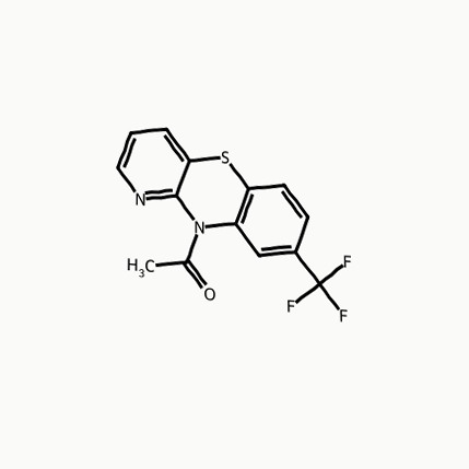 CC(=O)N1c2cc(C(F)(F)F)ccc2Sc2cccnc21